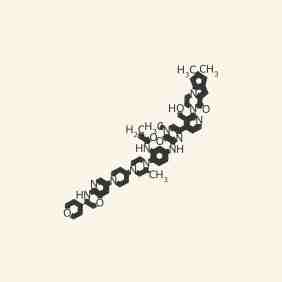 C=CC(=O)Nc1cc(Nc2nc(-c3ccnc(N4CCn5c(cc6c5CC(C)(C)C6)C4=O)c3CO)cn(C)c2=O)ccc1N1CCN(C2CCN(c3cnc4c(c3)OC[C@H](C3CCOCC3)N4)CC2)C[C@@H]1C